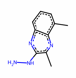 Cc1nc2c(C)cccc2nc1NN